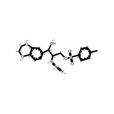 Cc1ccc(S(=O)(=O)OCC(N=[N+]=[N-])C(O)c2ccc3c(c2)OCCO3)cc1